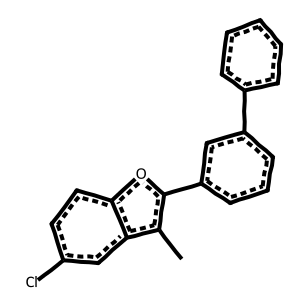 Cc1c(-c2cccc(-c3ccccc3)c2)oc2ccc(Cl)cc12